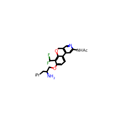 CC(=O)Nc1cc2c(cn1)COc1c-2ccc(OCC(N)CC(C)C)c1C(F)F